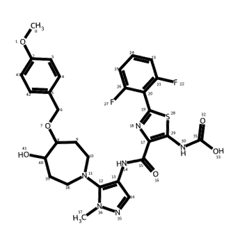 COc1ccc(COC2CCN(c3c(NC(=O)c4nc(-c5c(F)cccc5F)sc4NC(=O)O)cnn3C)CCC2O)cc1